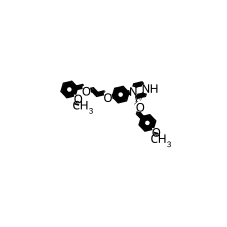 COc1ccc(COC[C@H]2CNCCN2c2ccc(OCCCOCc3ccccc3OC)cc2)cc1